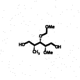 COCO[C@@H]([C@H](C)CO)[C@H](CO)OC